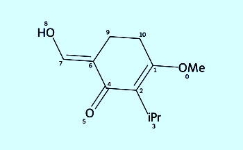 COC1=C(C(C)C)C(=O)C(=CO)CC1